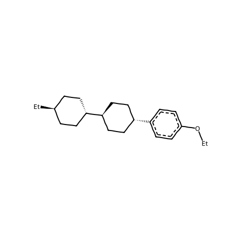 CCOc1ccc([C@H]2CC[C@H]([C@H]3CC[C@H](CC)CC3)CC2)cc1